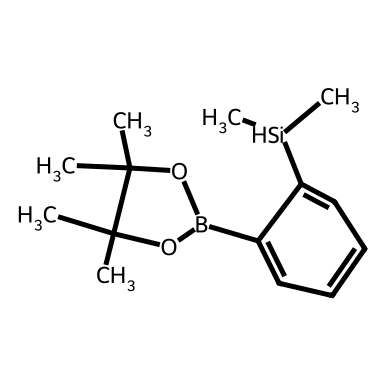 C[SiH](C)c1ccccc1B1OC(C)(C)C(C)(C)O1